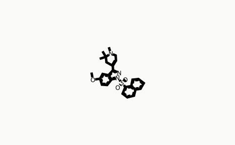 COc1ccc2c(c1)c(C1=CCN(C)C(C)(C)C1)nn2S(=O)(=O)c1cccc2ccccc12